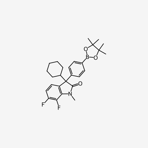 CN1C(=O)C(c2ccc(B3OC(C)(C)C(C)(C)O3)cc2)(C2CCCCC2)c2ccc(F)c(F)c21